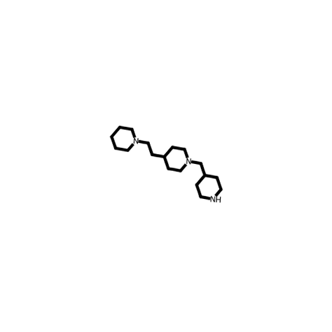 C1CCN(CCC2CCN(CC3CCNCC3)CC2)CC1